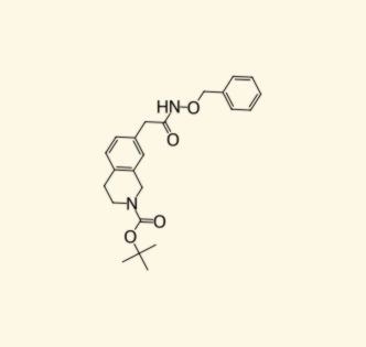 CC(C)(C)OC(=O)N1CCc2ccc(CC(=O)NOCc3ccccc3)cc2C1